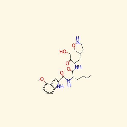 CCCC[C@H](NC(=O)c1cc2c(OC)cccc2[nH]1)C(=O)NC(CC1CCNOC1)C(=O)CO